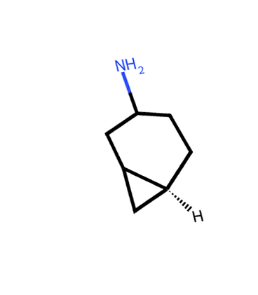 NC1CC[C@H]2CC2C1